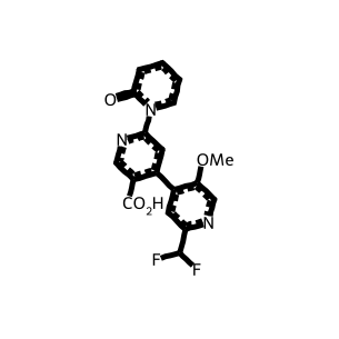 COc1cnc(C(F)F)cc1-c1cc(-n2ccccc2=O)ncc1C(=O)O